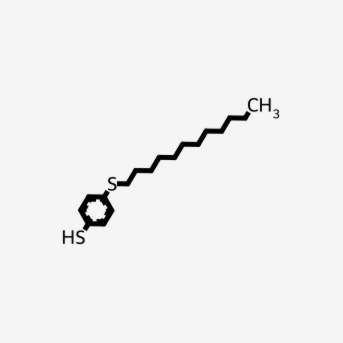 CCCCCCCCCCCCSc1ccc(S)cc1